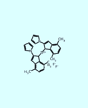 Cc1ccc(C)c2c1C=C(n1cccc1)[CH]2[Zr+2][CH]1C(n2cccc2)=Cc2c(C)ccc(C)c21.[F-].[F-]